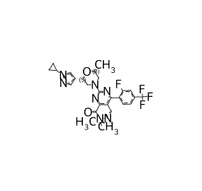 C[C@@H]1CN(c2nc3c(c(-c4ccc(C(F)(F)F)cc4F)n2)C=N[N+](C)(C)C3=O)C[C@H](c2cnn(C3CC3)c2)O1